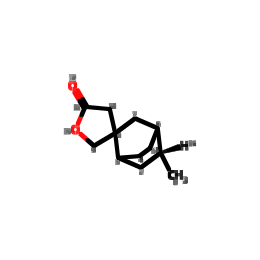 C[C@@H]1CC2CCC1CC21COC(=O)C1